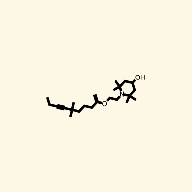 C=C(CCCC(C)(C)C#CCC)OCCN1C(C)(C)CC(O)CC1(C)C